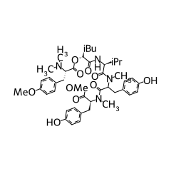 CC[C@H](C)[C@@H](OC(=O)[C@H](Cc1ccc(OC)cc1)N(C)C)C(=O)N[C@H](C(=O)N(C)C(Cc1ccc(O)cc1)C(=O)N(C)[C@@H](Cc1ccc(O)cc1)C(=O)OC)C(C)C